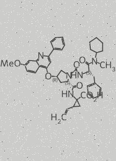 C=CC1CC1(NC(=O)[C@@H]1C[C@@H](Oc2cc(-c3ccccc3)nc3cc(OC)ccc23)CN1C(=O)N[C@@H](Cc1ccccc1)C(=O)N(C)C1CCCCC1)C(=O)O